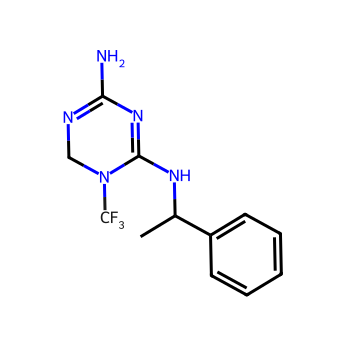 CC(NC1=NC(N)=NCN1C(F)(F)F)c1ccccc1